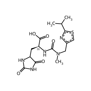 CC(C)c1nc(CN(C)C(=O)N[C@@H](CC2NC(=O)NC2=O)C(=O)O)cs1